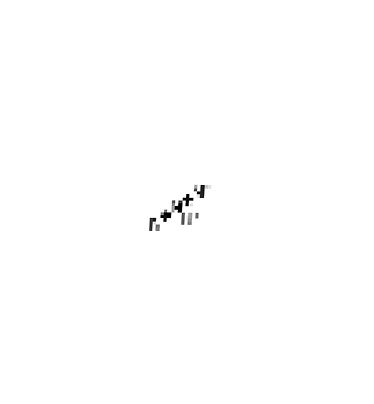 [K+].[N-]=[N+]=[N-]